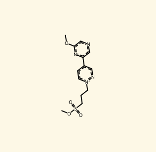 COc1cncc(-c2cc[n+](CCCS(=O)(=O)OC)nc2)n1